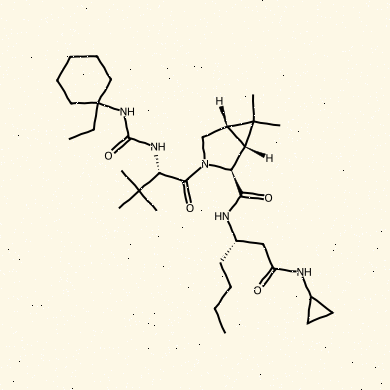 CCCC[C@@H](CC(=O)NC1CC1)NC(=O)[C@@H]1[C@@H]2[C@H](CN1C(=O)[C@@H](NC(=O)NC1(CC)CCCCC1)C(C)(C)C)C2(C)C